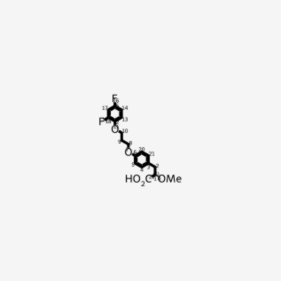 CO[C@@H](Cc1ccc(OCCCOc2ccc(F)cc2F)cc1)C(=O)O